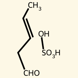 CC=CCC=O.O=S(=O)(O)O